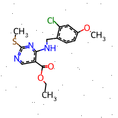 CCOC(=O)c1cnc(SC)nc1NCc1ccc(OC)cc1Cl